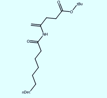 C=C(CCC(=O)OC(C)(C)C)NC(=O)CCCCCCCCCCCCCCC